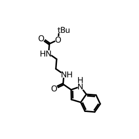 CC(C)(C)OC(=O)NCCNC(=O)c1cc2ccccc2[nH]1